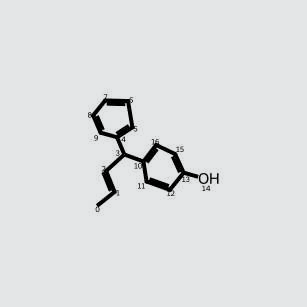 CC=CC(c1ccccc1)c1ccc(O)cc1